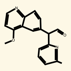 COc1ccnc2ccc(C(C=O)c3cccc(C)n3)cc12